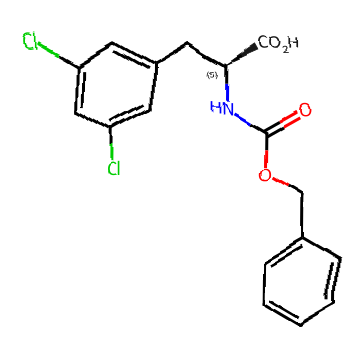 O=C(N[C@@H](Cc1cc(Cl)cc(Cl)c1)C(=O)O)OCc1ccccc1